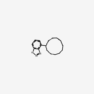 c1cc2c(c(C3CCCCCCCCCC3)c1)N=N[N]2